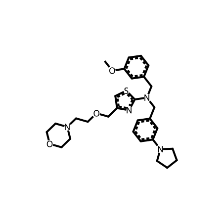 COc1cccc(CN(Cc2cccc(N3CCCC3)c2)c2nc(COCCN3CCOCC3)cs2)c1